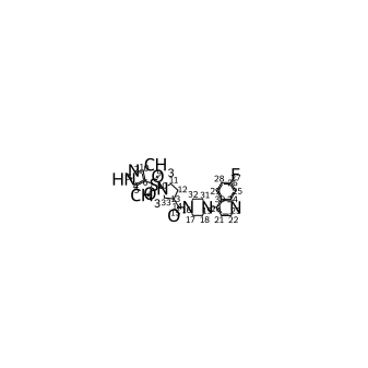 Cc1n[nH]c(C)c1S(=O)(=O)N1CCC(C(=O)N2CCN(c3ccnc4cc(F)ccc34)CC2)C1